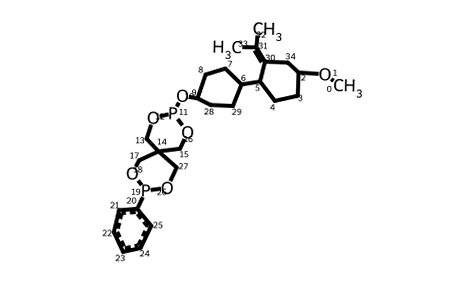 COC1CCC(C2CCC(OP3OCC4(CO3)COP(c3ccccc3)OC4)CC2)C(=C(C)C)C1